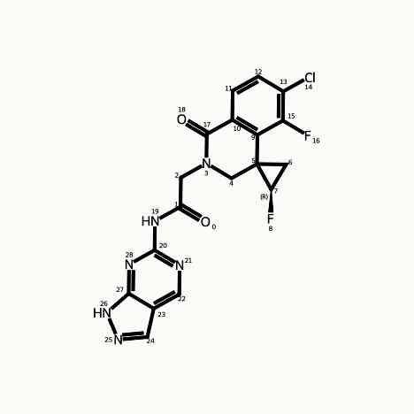 O=C(CN1CC2(C[C@H]2F)c2c(ccc(Cl)c2F)C1=O)Nc1ncc2cn[nH]c2n1